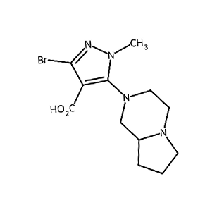 Cn1nc(Br)c(C(=O)O)c1N1CCN2CCCC2C1